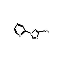 Cc1cn(-c2ccc[c]n2)cn1